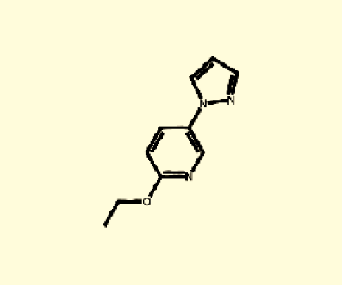 CCOc1ccc(-n2cccn2)cn1